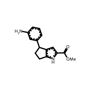 COC(=O)c1cc2c([nH]1)CCC2c1cccc(N)c1